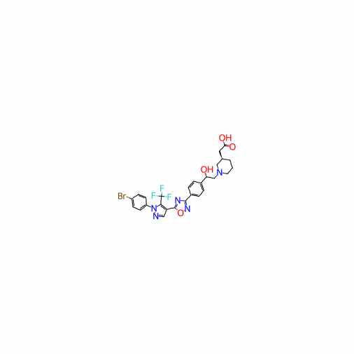 O=C(O)C[C@H]1CCCN(C[C@H](O)c2ccc(-c3noc(-c4cnn(-c5ccc(Br)cc5)c4C(F)(F)F)n3)cc2)C1